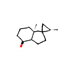 C[C@@H]1CC12CCC1C(=O)CCC[C@@]12C